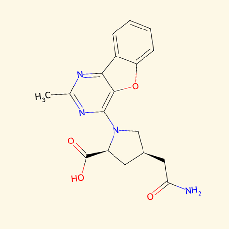 Cc1nc(N2C[C@@H](CC(N)=O)C[C@H]2C(=O)O)c2oc3ccccc3c2n1